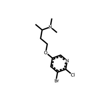 CC(CCOc1cnc(Cl)c(Br)c1)N(C)C